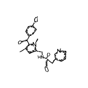 Cc1cc(CNS(=O)(=O)Cc2cccnc2)n(C)c1C(=O)c1ccc(Cl)cc1